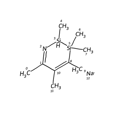 CC1=N[SiH](C)[Si](C)(C)C(C)=C1C.[Na]